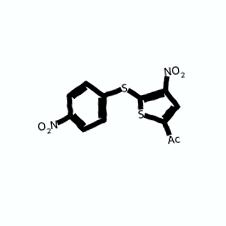 CC(=O)c1cc([N+](=O)[O-])c(Sc2ccc([N+](=O)[O-])cc2)s1